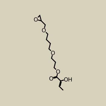 CC=C(O)C(=O)OCCCOCCCCOCC1CO1